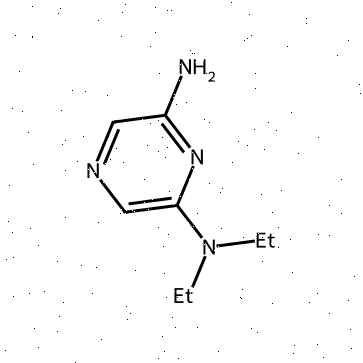 CCN(CC)c1cncc(N)n1